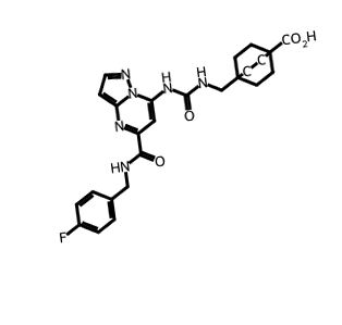 O=C(NCC12CCC(C(=O)O)(CC1)CC2)Nc1cc(C(=O)NCc2ccc(F)cc2)nc2ccnn12